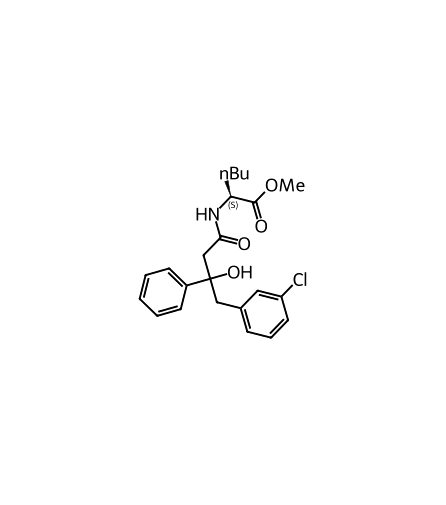 CCCC[C@H](NC(=O)CC(O)(Cc1cccc(Cl)c1)c1ccccc1)C(=O)OC